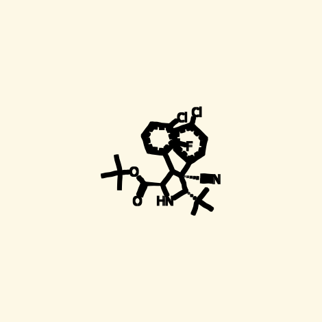 CC(C)(C)OC(=O)[C@@H]1N[C@@H](C(C)(C)C)[C@](C#N)(c2ccc(Cl)cc2)C1c1cccc(Cl)c1F